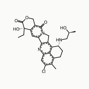 CC[C@@]1(O)C(=O)OCc2c1cc1n(c2=O)Cc2c-1nc1cc(Cl)c(C)c3c1c2[C@H](NC[C@H](C)O)CC3